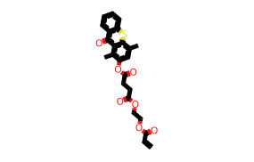 C=CC(=O)OCCOC(=O)CCC(=O)Oc1cc(C)c2sc3ccccc3c(=O)c2c1C